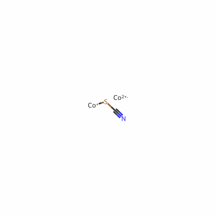 N#C[S][Co+].[Co+2]